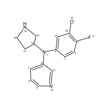 Fc1ccc(N(c2cccnc2)C2CCNC2)cc1Cl